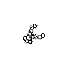 C/C=C(\C=C/C1(C)C=CC2=C(CCC=C2)C1)C(=N/C(=N\N)c1cccc2oc3cccc(C4(C)C=CC=CC4)c3c12)/C1=CC2c3ccccc3OC2C=C1